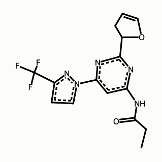 CCC(=O)Nc1cc(-n2ccc(C(F)(F)F)n2)nc(C2CC=CO2)n1